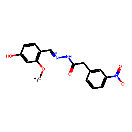 COc1cc(O)ccc1/C=N/NC(=O)Cc1cccc([N+](=O)[O-])c1